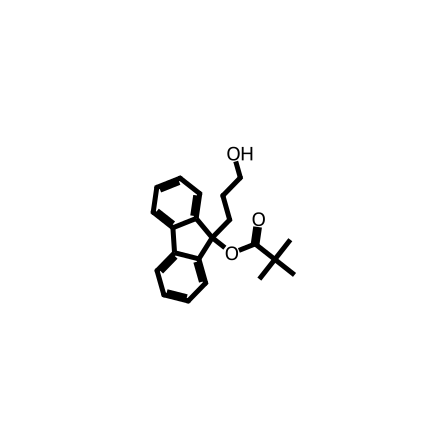 CC(C)(C)C(=O)OC1(CCCO)c2ccccc2-c2ccccc21